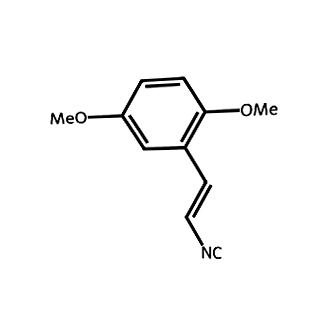 [C-]#[N+]C=Cc1cc(OC)ccc1OC